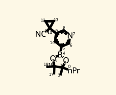 CCCC1(C)OB(c2cncc(C3(C#N)CC3)c2)OC1(C)C